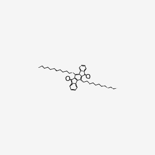 CCCCCCCCCCCCc1c2c(=O)c3ccccc3c2c(CCCCCCCCCCCC)c2c(=O)c3ccccc3c12